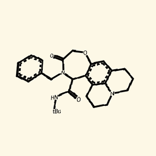 CC(C)(C)NC(=O)C1c2c(cc3c4c2CCCN4CCC3)OCC(=O)N1Cc1ccccc1